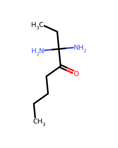 CCCCC(=O)C(N)(N)CC